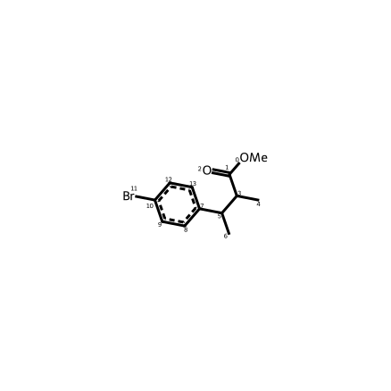 COC(=O)C(C)C(C)c1ccc(Br)cc1